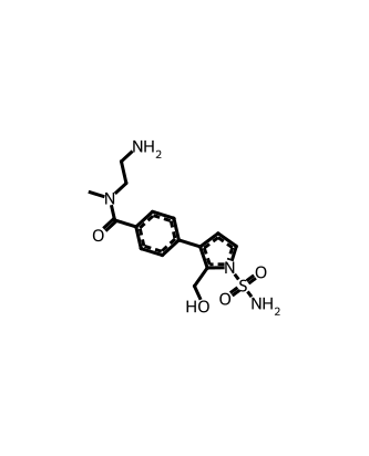 CN(CCN)C(=O)c1ccc(-c2ccn(S(N)(=O)=O)c2CO)cc1